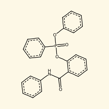 O=C(Nc1ccccc1)c1ccccc1OP(=O)(Oc1ccccc1)c1ccccc1